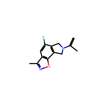 C=C(C)N1Cc2c(F)cc3c(C)noc3c2C1